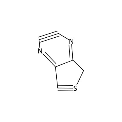 C1#SCc2nc#cnc21